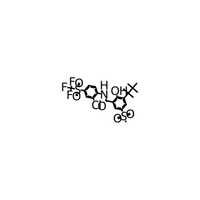 CC(C)(C)C(C)(C)c1cc(S(C)(=O)=O)cc(C(=O)Nc2ccc(S(=O)(=O)C(F)(F)F)cc2Cl)c1O